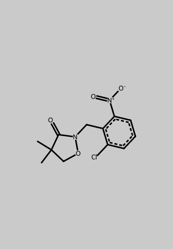 CC1(C)CON(Cc2c(Cl)cccc2[N+](=O)[O-])C1=O